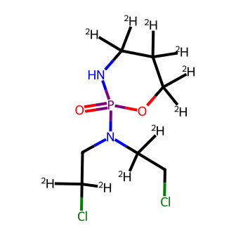 [2H]C([2H])(Cl)CN(C([2H])([2H])CCl)P1(=O)NC([2H])([2H])C([2H])([2H])C([2H])([2H])O1